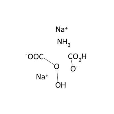 N.O=C([O-])O.O=C([O-])OO.[Na+].[Na+]